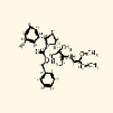 COC(CNC(=O)C(C)(C)[C@H]1CC[C@@H](c2cccc(F)c2)N1C(=O)OCc1ccccc1)OC